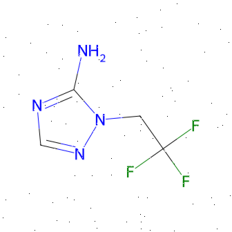 Nc1ncnn1CC(F)(F)F